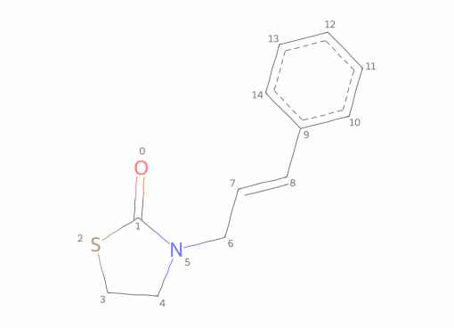 O=C1SCCN1C/C=C/c1ccccc1